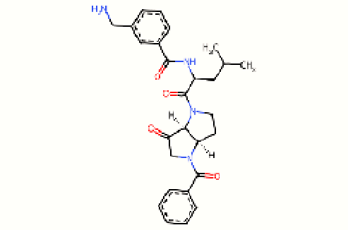 CC(C)C[C@H](NC(=O)c1cccc(CN)c1)C(=O)N1CC[C@@H]2[C@H]1C(=O)CN2C(=O)c1ccccc1